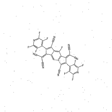 N#CC(C#N)=C1C(c2c(F)c(F)nc(F)c2F)=C(C#N)c2c1cc1c(c2F)C(=C(C#N)C#N)C(c2c(F)c(F)nc(F)c2F)=C1C#N